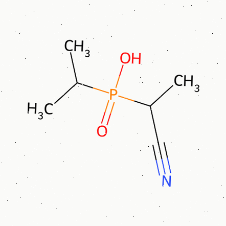 CC(C)P(=O)(O)C(C)C#N